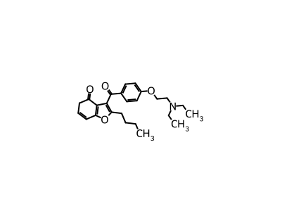 CCCCc1oc2c(c1C(=O)c1ccc(OCCN(CC)CC)cc1)C(=O)CC=C2